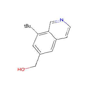 CC(C)(C)c1cc(CO)cc2ccncc12